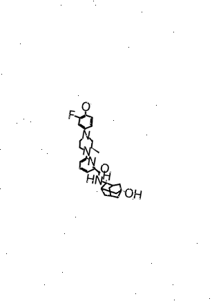 COc1ccc(N2CCN(c3cccc(C(=O)N[C@H]4C5CC6CC4C[C@](O)(C6)C5)n3)[C@H](C)C2)cc1F